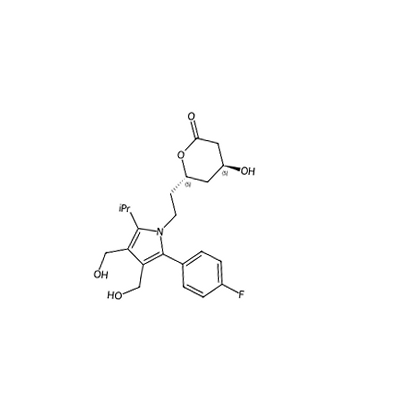 CC(C)c1c(CO)c(CO)c(-c2ccc(F)cc2)n1CC[C@H]1C[C@H](O)CC(=O)O1